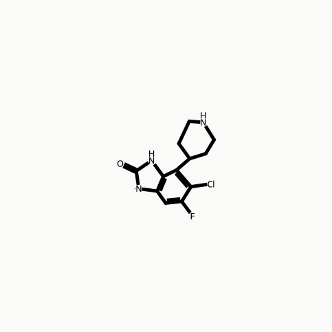 O=C1[N]c2cc(F)c(Cl)c(C3CCNCC3)c2N1